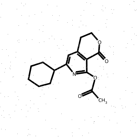 CC(=O)Oc1nc(C2CCCCC2)cc2c1C(=O)OCC2